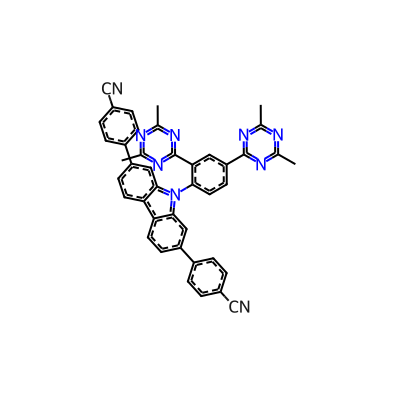 Cc1nc(C)nc(-c2ccc(-n3c4cc(-c5ccc(C#N)cc5)ccc4c4ccc(-c5ccc(C#N)cc5)cc43)c(-c3nc(C)nc(C)n3)c2)n1